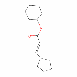 O=C(/C=C/C1CCCC1)OC1CCCCC1